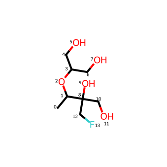 CC(OC(CO)CO)C(O)(CO)CF